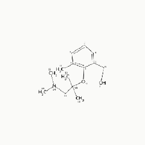 Cc1cccc(CO)c1OC(C)(C)CN(C)C